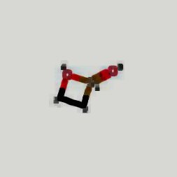 O=S1CCO1